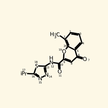 Cc1cccc2c(=O)cc(C(=O)Nc3nnc(C(C)C)s3)oc12